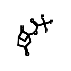 O=C1CC2CC(OC(=O)C(F)(F)F)(C1)N2